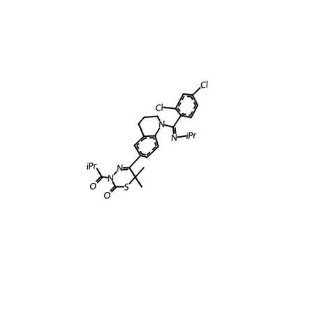 CC(C)N=C(c1ccc(Cl)cc1Cl)N1CCCc2cc(C3=NN(C(=O)C(C)C)C(=O)SC3(C)C)ccc21